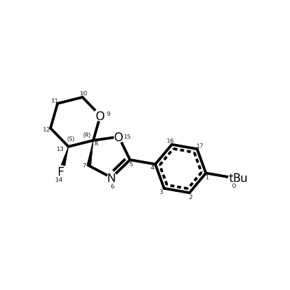 CC(C)(C)c1ccc(C2=NC[C@@]3(OCCC[C@@H]3F)O2)cc1